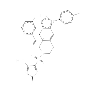 CC1=NC(C)N=C1S(=O)(=O)N1CCC2=Cc3c(cnn3-c3ccc(F)cc3)C[C@]2(C(=O)c2cc(C)ccn2)C1